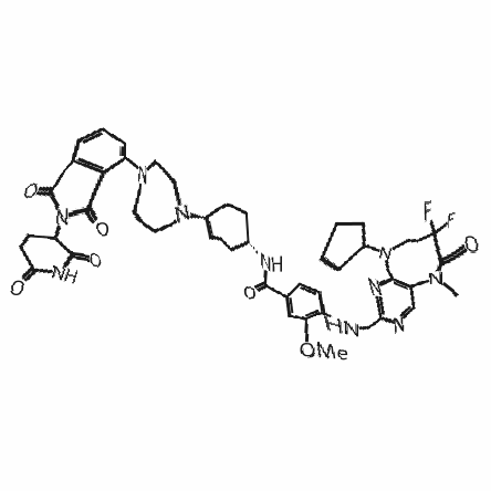 COc1cc(C(=O)N[C@H]2CC[C@H](N3CCN(c4cccc5c4C(=O)N(C4CCC(=O)NC4=O)C5=O)CC3)CC2)ccc1Nc1ncc2c(n1)N(C1CCCC1)CC(F)(F)C(=O)N2C